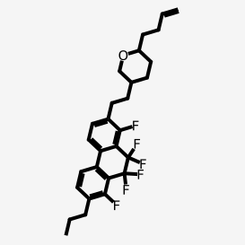 C=CCCC1CCC(CCc2ccc3c(c2F)C(F)(F)C(F)(F)c2c-3ccc(CCC)c2F)CO1